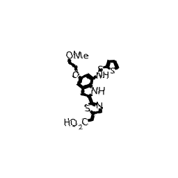 COCCOc1cc2c(c(NSc3cccs3)c1)NC(C1=NCC(CC(=O)O)S1)C2